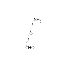 NCCCOCCCC=O